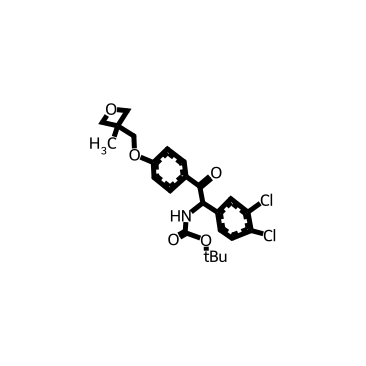 CC1(COc2ccc(C(=O)C(NC(=O)OC(C)(C)C)c3ccc(Cl)c(Cl)c3)cc2)COC1